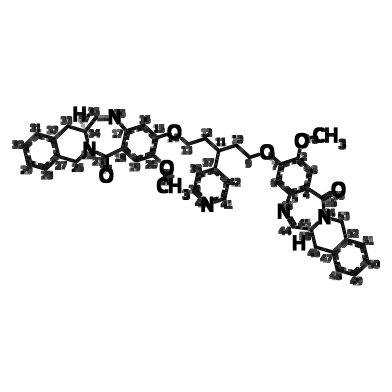 COc1cc2c(cc1OCCC(CCOc1cc3c(cc1OC)C(=O)N1Cc4ccccc4C[C@H]1C=N3)c1ccncc1)N=C[C@@H]1Cc3ccccc3CN1C2=O